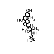 C[C@H](C[C@H](C)C(=O)NCCS(=O)(=O)O)[C@H]1CCC2C3C(CC[C@@]21C)[C@@]1(C)CC[C@@H](O)CC1C[C@@H]3O